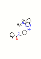 CN(C)c1nc(N[C@H]2CC[C@@H](CNC(=O)c3ccccc3I)CC2)nc2ccccc12